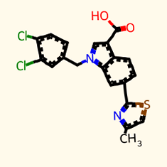 Cc1csc(-c2ccc3c(C(=O)O)cn(Cc4ccc(Cl)c(Cl)c4)c3c2)n1